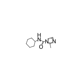 Cc1nccn1C(=O)NC1CCCCC1